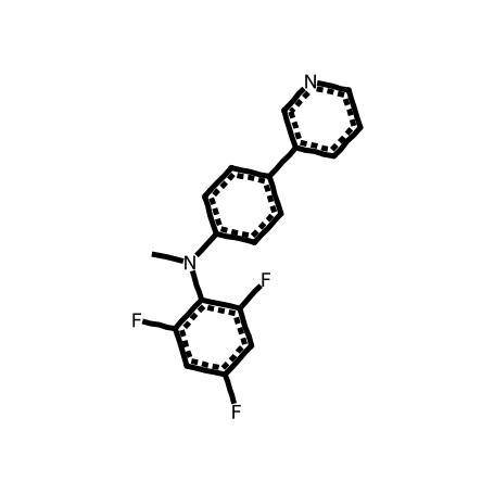 CN(c1ccc(-c2cccnc2)cc1)c1c(F)cc(F)cc1F